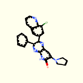 O=c1[nH]c2nc(-c3ccccc3)c(-c3cc(Cl)c4ncccc4c3)nc2cc1N1CCCC1